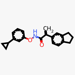 C=C(C(=O)NOc1cccc(C2CC2)c1)c1ccc2c(c1)CCC2